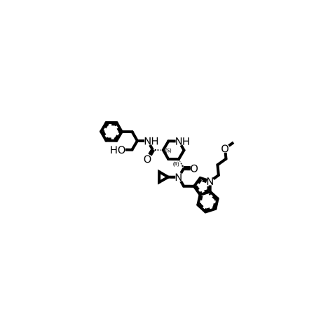 COCCCn1cc(CN(C(=O)[C@H]2CNC[C@@H](C(=O)NC(CO)Cc3ccccc3)C2)C2CC2)c2ccccc21